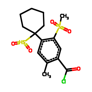 Cc1cc(C2([SH](=O)=O)CCCCC2)c(S(C)(=O)=O)cc1C(=O)Cl